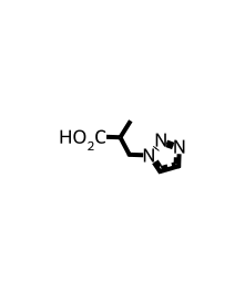 CC(Cn1ccnn1)C(=O)O